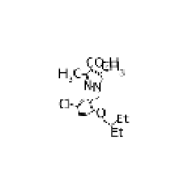 CCC(CC)COc1ccc(Cl)cc1CN1CC(C)=C(C(=O)O)C(C)=N1